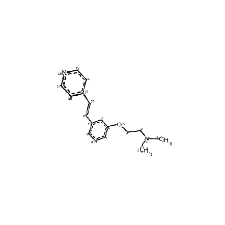 CN(C)CCOc1cncc(/C=C/c2ccncc2)c1